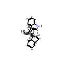 [CH2]=[Zr]([CH3])([CH3])([c]1c[nH]c2ccccc12)([CH]1C=Cc2ccccc21)([C](C)(C)C)[C](C)(C)C